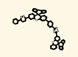 c1ccc(-c2ccc(-c3ccc4c(c3)Oc3cc(-c5ccc(-c6nnc(-c7ccc8c(c7)Oc7ccccc7C87c8ccccc8-c8ccccc87)o6)cc5)ccc3C43c4ccccc4-c4ccccc43)nn2)cc1